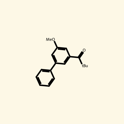 COc1cc(C(=O)C(C)(C)C)cc(-c2ccccc2)c1